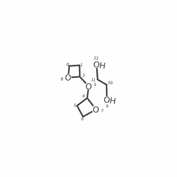 C1CC(OC2CCO2)O1.OCCO